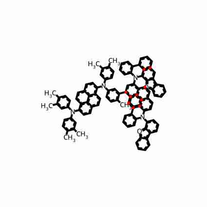 Cc1ccc(N(c2ccc(C)c(C)c2)c2ccc3ccc4c(N(c5ccc(C)c(C)c5)c5ccc(C)c(Cc6cccc(-c7ccccc7N(c7ccc8ccc9c(N(c%10ccccc%10-c%10ccccc%10)c%10cccc%11c%10oc%10ccccc%10%11)ccc%10ccc7c8c%109)c7cccc8c7oc7ccccc78)c6)c5)ccc5ccc2c3c54)cc1C